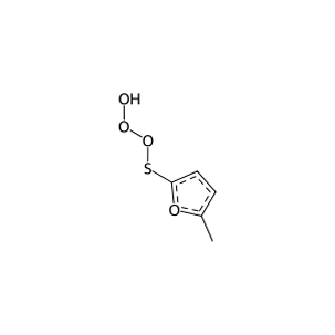 Cc1ccc(SOOO)o1